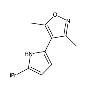 Cc1noc(C)c1-c1ccc(C(C)C)[nH]1